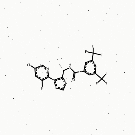 C[C@H](NC(=O)c1cc(C(F)(F)F)cc(C(F)(F)F)c1)c1ncnn1-c1ncc(Cl)cc1F